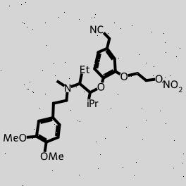 CCC(C(Oc1ccc(CC#N)cc1OCCO[N+](=O)[O-])C(C)C)N(C)CCc1ccc(OC)c(OC)c1